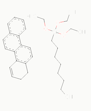 C1=Cc2c(ccc3c2ccc2ccccc23)CC1.CCCCCCCC[Si](OCC)(OCC)OCC